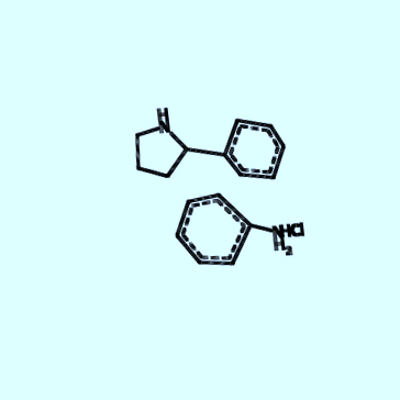 Cl.Nc1ccccc1.c1ccc(C2CCCN2)cc1